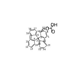 O=C(O)O.c1ccc(C(c2ccccc2)(c2ccccc2)c2ccccc2)cc1